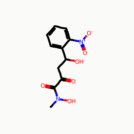 CN(O)C(=O)C(=O)CC(O)c1ccccc1[N+](=O)[O-]